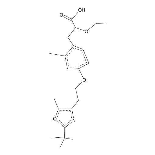 CCOC(Cc1ccc(OCCc2nc(C(C)(C)C)oc2C)cc1C)C(=O)O